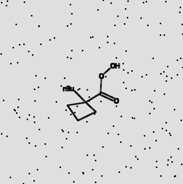 CCCCC1(C(=O)OO)CCC1